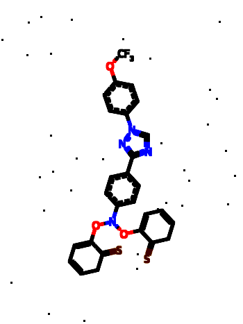 FC(F)(F)Oc1ccc(-n2cnc(-c3ccc(N(OC4=CC=CCC4=S)OC4=CC=CCC4=S)cc3)n2)cc1